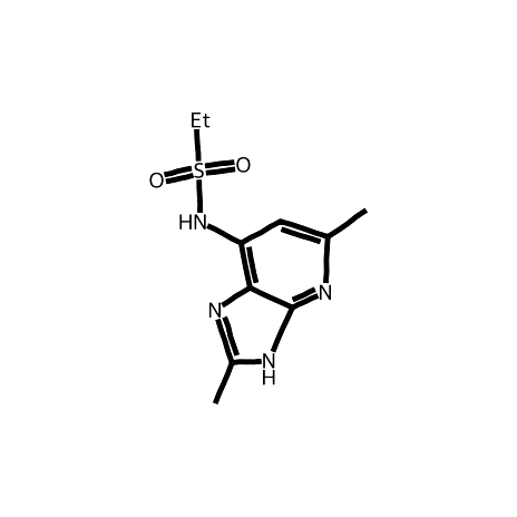 CCS(=O)(=O)Nc1cc(C)nc2[nH]c(C)nc12